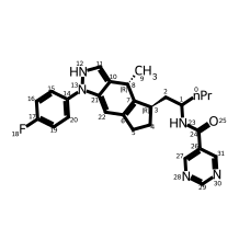 CCCC(C[C@H]1CCC2=C1[C@@H](C)C1=CNN(c3ccc(F)cc3)C1=C2)NC(=O)c1cncnc1